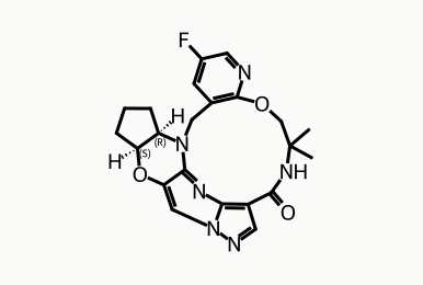 CC1(C)COc2ncc(F)cc2CN2c3nc4c(cnn4cc3O[C@H]3CCC[C@H]32)C(=O)N1